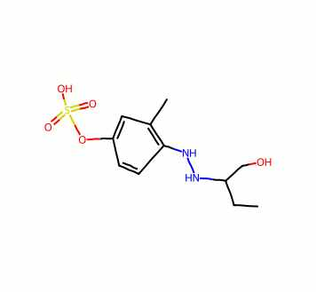 CCC(CO)NNc1ccc(OS(=O)(=O)O)cc1C